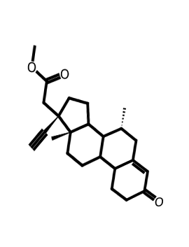 C#C[C@@]1(CC(=O)OC)CCC2C3C(CC[C@@]21C)C1CCC(=O)C=C1C[C@H]3C